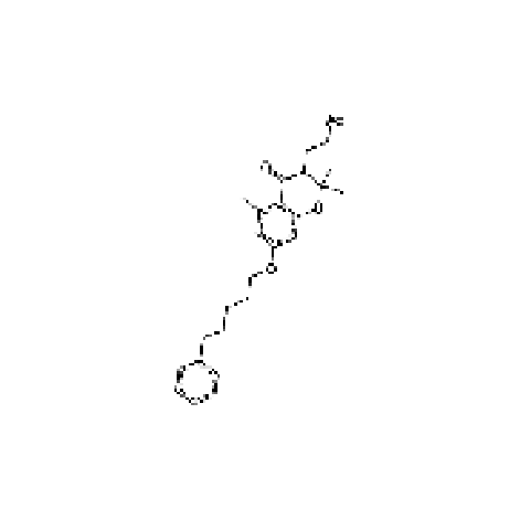 CC(=O)CCC1C(=O)c2c(C)cc(OCCCCCc3ccccc3)cc2OC1(C)C